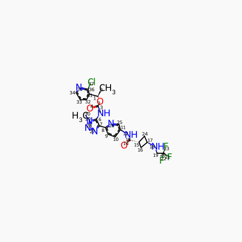 C[C@@H](OC(=O)Nc1c(-c2ccc(NC(=O)[C@H]3C[C@H](NCC(F)(F)F)C3)cn2)nnn1C)c1cccnc1Cl